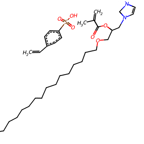 C=C(C)C(=O)OC(COCCCCCCCCCCCCCCCC)CN1C=CN(C)C1.C=Cc1ccc(S(=O)(=O)O)cc1